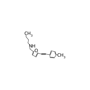 CCCCNCc1ccc(C#Cc2ccc(C)cc2)o1